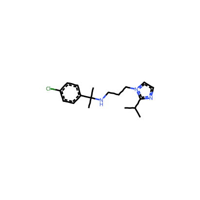 CC(C)c1nccn1CCCNC(C)(C)c1ccc(Cl)cc1